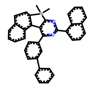 C[Si]1(C)c2ccc3ccccc3c2-c2c(-c3cccc(-c4ccccc4)c3)nc(-c3cccc4ccccc34)nc21